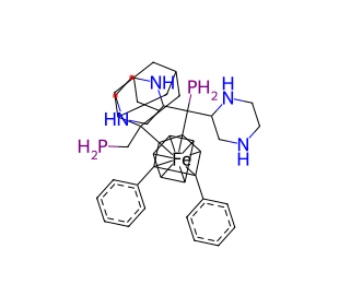 PCC1([C]23[C]4(c5ccccc5)[C]5(c6ccccc6)[CH]6[C]2(C(P)(C2CNCCN2)C2CNCCN2)[Fe]65432789[CH]3[CH]2[CH]7[CH]8[CH]39)C2CC3CC(C2)CC1C3